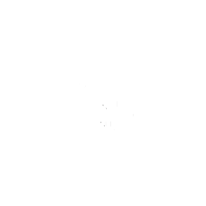 CCP1CCCC(=O)CN1N